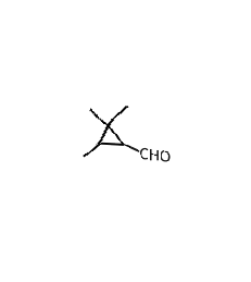 CC1C(C=O)C1(C)C